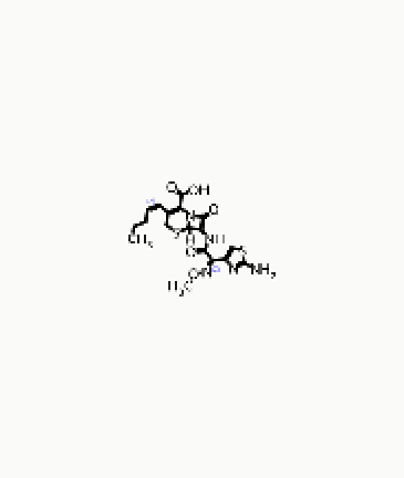 CCC/C=C\C1=C(C(=O)O)N2C(=O)C(NC(=O)/C(=N\OC)c3csc(N)n3)[C@@H]2SC1